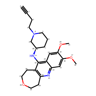 C#CCCN1CCC[C@@H](Nc2c3c(nc4cc(OC)c(OC)cc24)CCOCC3)C1